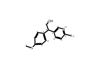 CSc1ccc(C(CO)c2ccc(F)nc2)cc1